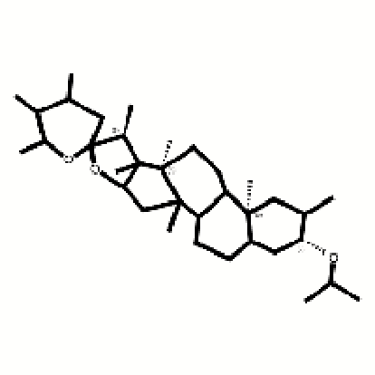 CC(C)O[C@@H]1CC2CCC3C(CC[C@@]4(C)C3(C)CC3OC5(CC(C)C(C)C(C)O5)[C@@H](C)C34C)[C@@]2(C)CC1C